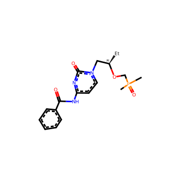 CC[C@H](Cn1ccc(NC(=O)c2ccccc2)nc1=O)OCP(C)(C)=O